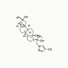 CCC[C@]1(O)C[C@@H]2CC[C@@H]3[C@H](CC[C@]4(C)[C@@H](C(C)(O)Cn5cc(C#N)cn5)CC[C@@H]34)[C@@]2(C)C1